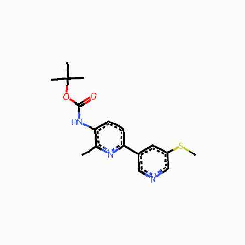 CSc1cncc(-c2ccc(NC(=O)OC(C)(C)C)c(C)n2)c1